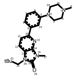 CN1CCN(c2cccc(-c3ccc4c(n3)n(C)c(=O)n4CC(C)(C)C)c2)CC1